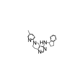 Cc1ccc(N2CCc3ncnc(NC4CCc5ccccc54)c3C2)nc1